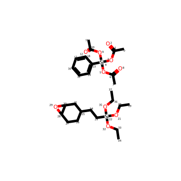 CC(=O)O[Si](OC(C)=O)(OC(C)=O)c1ccccc1.CCO[Si](CCC1CCC2OC2C1)(OCC)OCC